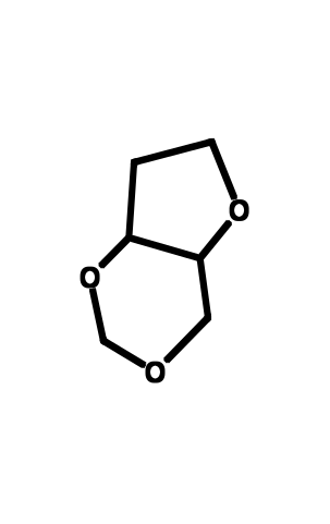 C1CC2OCOCC2O1